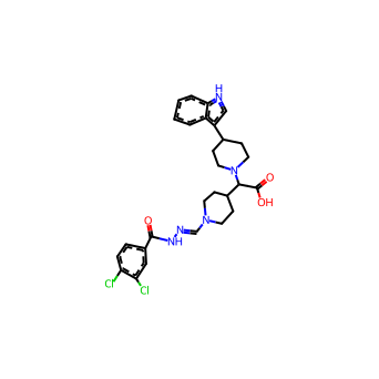 O=C(NN=CN1CCC(C(C(=O)O)N2CCC(c3c[nH]c4ccccc34)CC2)CC1)c1ccc(Cl)c(Cl)c1